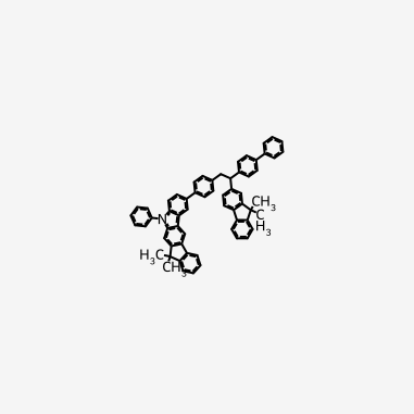 CC1(C)c2ccccc2-c2ccc(C(Cc3ccc(-c4ccc5c(c4)c4cc6c(cc4n5-c4ccccc4)C(C)(C)c4ccccc4-6)cc3)c3ccc(-c4ccccc4)cc3)cc21